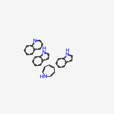 C1=CC=CNC=C1.c1ccc2[nH]ccc2c1.c1ccc2[nH]ccc2c1.c1ccc2ncccc2c1